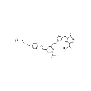 CC(C)NCC(COc1ccc(CCOCC2CC2)cc1)OC(=O)CCn1cnc(CC(NC(=O)C(C)N)C(=O)O)c1